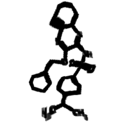 CC(C)c1ccc(S(=O)(=O)Nc2nc3ccccc3nc2OCC2CCCC2)cc1